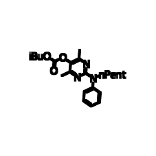 CCCCCN(c1ccccc1)c1nc(C)c(OC(=O)OCC(C)C)c(C)n1